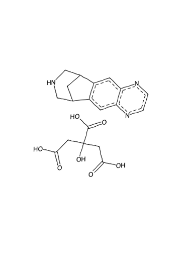 O=C(O)CC(O)(CC(=O)O)C(=O)O.c1cnc2cc3c(cc2n1)C1CNCC3C1